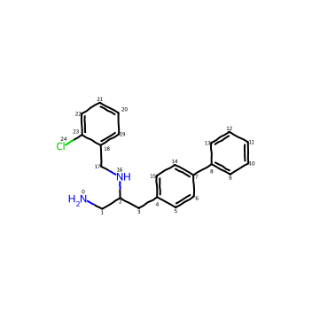 NCC(Cc1ccc(-c2ccccc2)cc1)NCc1ccccc1Cl